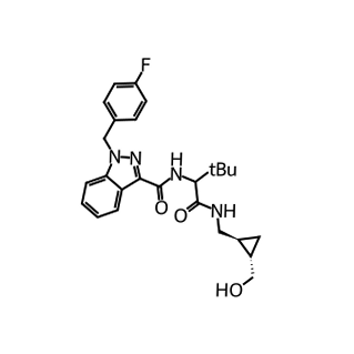 CC(C)(C)C(NC(=O)c1nn(Cc2ccc(F)cc2)c2ccccc12)C(=O)NC[C@H]1C[C@@H]1CO